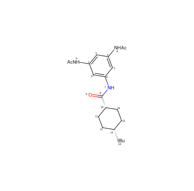 CC(=O)Nc1cc(NC(C)=O)cc(NC(=O)[C@H]2CC[C@@H](C(C)(C)C)CC2)c1